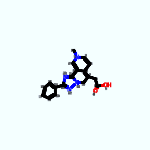 CN1C=CC2=C(CC(=O)O)Cn3nc(-c4ccccc4)nc3C2=C1